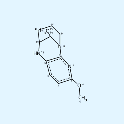 COc1ccc2c(n1)N1CCCC(N2)C1C